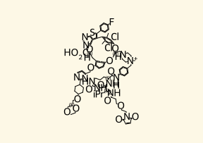 Cc1c(Cl)c2c(Cl)c(C)c1-c1c(-c3ccc(F)cc3)sc3ncnc(c13)O[C@@H](C(=O)O)Cc1cc(ccc1OCc1ccnc(C3CCC(OC[C@@H]4COCCO4)CC3)n1)OC[C@@H](CN1CC[N+](C)(Cc3ccc(NC(=O)[C@H](CCCNC(N)=O)NC(=O)[C@@H](NC(=O)CCOCCN4C(=O)C=CC4=O)C(C)C)cc3)CC1)O2